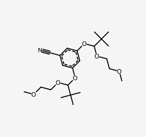 COCCOC(Oc1cc(C#N)cc(OC(OCCOC)C(C)(C)C)c1)C(C)(C)C